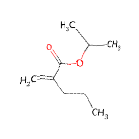 C=C(CCC)C(=O)OC(C)C